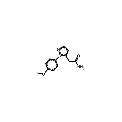 COc1ccc(-n2nccc2CC(N)=O)cc1